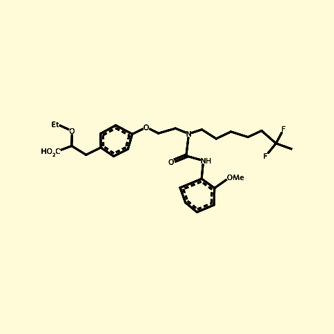 CCOC(Cc1ccc(OCCN(CCCCCC(C)(F)F)C(=O)Nc2ccccc2OC)cc1)C(=O)O